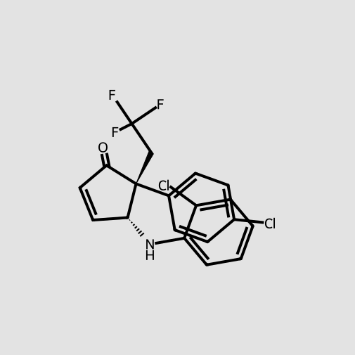 O=C1C=C[C@@H](Nc2ccccc2Cl)[C@@]1(CC(F)(F)F)c1ccc(Cl)cc1